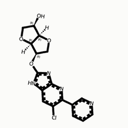 O[C@@H]1CO[C@H]2[C@@H]1OC[C@H]2Oc1nc2nc(-c3cccnc3)c(Cl)cc2[nH]1